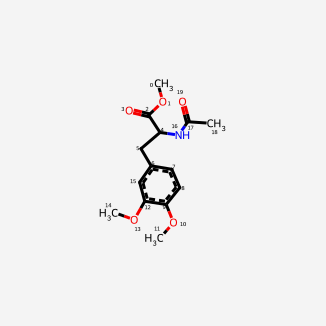 COC(=O)C(Cc1ccc(OC)c(OC)c1)NC(C)=O